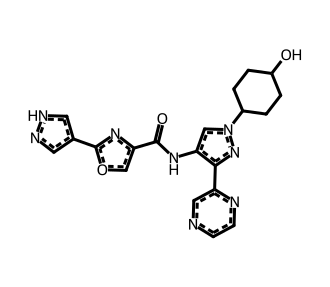 O=C(Nc1cn(C2CCC(O)CC2)nc1-c1cnccn1)c1coc(-c2cn[nH]c2)n1